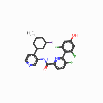 C[C@@H]1CC(I)CC(c2ccncc2NC(=O)c2ccc(F)c(-c3c(F)cc(O)cc3F)n2)C1